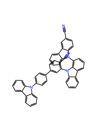 N#Cc1ccc2c(c1)c1ccccc1n2-c1cccc2c3ccccc3n(-c3cc(-c4ccc(-n5c6ccccc6c6ccccc65)cc4)ccc3C#N)c12